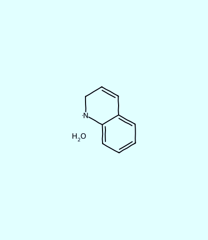 C1=Cc2ccccc2[N]C1.O